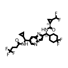 O=C(CCC(F)(F)F)NC(c1cnn2cc([C@@H](NC(=O)[C@H]3CC3C(F)F)C3CCC(F)(F)CC3)nc2c1)C1CC1